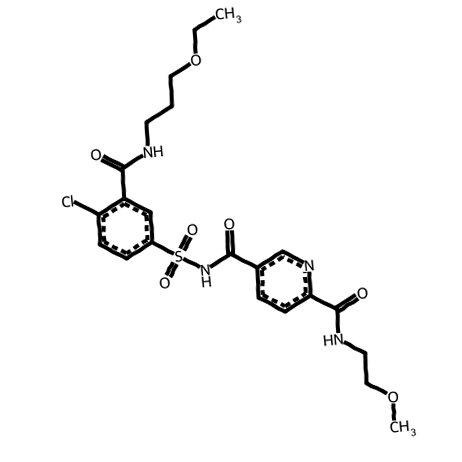 CCOCCCNC(=O)c1cc(S(=O)(=O)NC(=O)c2ccc(C(=O)NCCOC)nc2)ccc1Cl